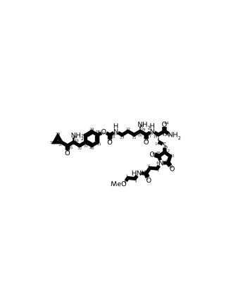 COCCNC(=O)CCN1C(=O)CC(SC[C@H](NC(=O)[C@@H](N)CCCNC(=O)Oc2ccc(C[C@H](N)C(=O)C3CC3)cc2)C(N)=O)C1=O